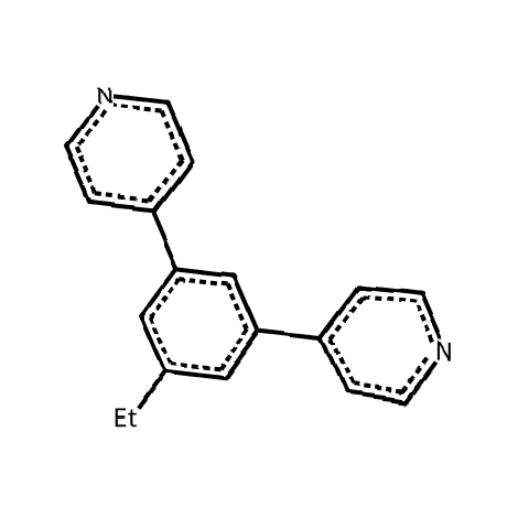 CCc1cc(-c2ccncc2)cc(-c2ccncc2)c1